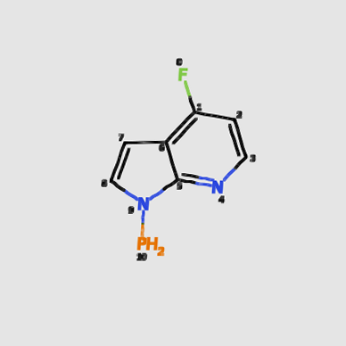 Fc1ccnc2c1ccn2P